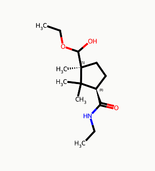 CCNC(=O)[C@@H]1CC[C@](C)(C(O)OCC)C1(C)C